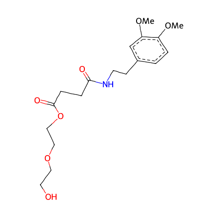 COc1ccc(CCNC(=O)CCC(=O)OCCOCCO)cc1OC